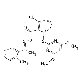 COc1cc(OC)nc(Sc2cccc(Cl)c2C(=O)O/N=C(\C)c2ccccc2C)n1